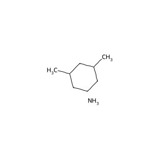 CC1CCCC(C)C1.N